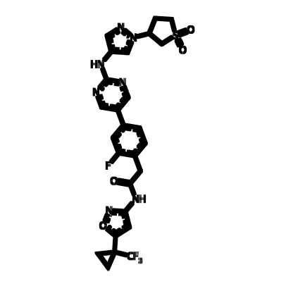 O=C(Cc1ccc(-c2cnc(Nc3cnn(C4CCS(=O)(=O)C4)c3)nc2)cc1F)Nc1cc(C2(C(F)(F)F)CC2)on1